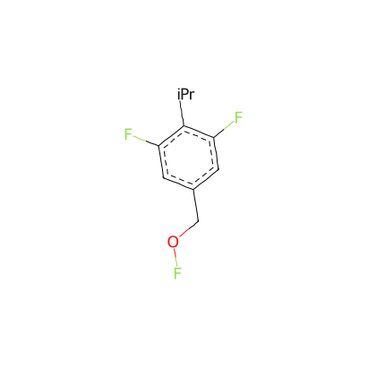 CC(C)c1c(F)cc(COF)cc1F